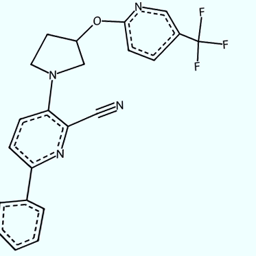 N#Cc1nc(-c2ccccc2)ccc1N1CCC(Oc2ccc(C(F)(F)F)cn2)C1